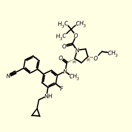 CCO[C@@H]1C[C@H](C(=O)N(C)c2cc(-c3cccc(C#N)c3)cc(NCC3CC3)c2F)N(C(=O)OC(C)(C)C)C1